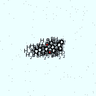 Bc1c(B)c(B)c2c(B)c3c(oc4c(B)c(-c5c6c(B)c(B)c(B)c(B)c6c(-c6cc7ccccc7c7ccccc67)c6c(B)c(B)c(B)c(B)c56)c(B)c(B)c43)c(B)c2c1B